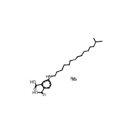 CC(C)CCCCCCCCCCCCCNc1ccc(C(=O)O)c(C(=O)O)c1.[Na].[Na]